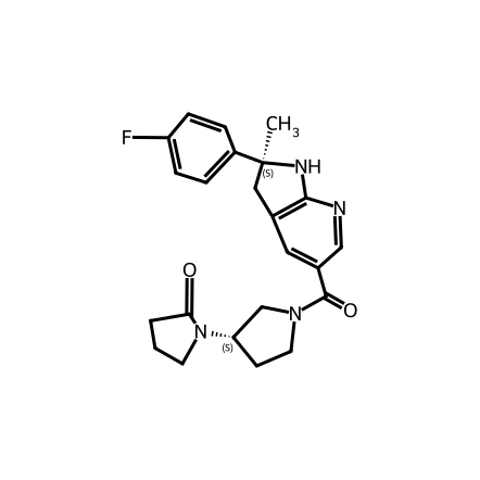 C[C@@]1(c2ccc(F)cc2)Cc2cc(C(=O)N3CC[C@H](N4CCCC4=O)C3)cnc2N1